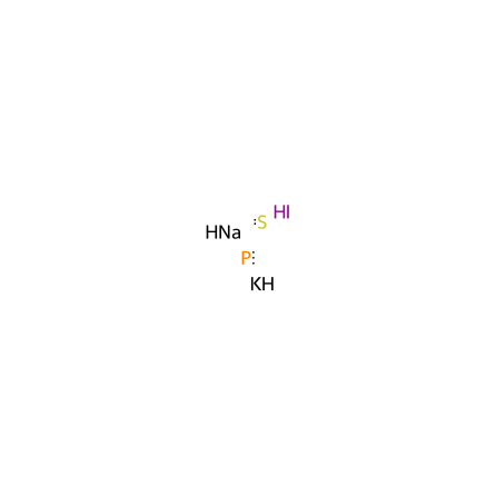 I.[KH].[NaH].[P].[S]